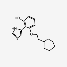 Oc1cccc(OCCC2CCCCC2)c1-c1cnc[nH]1